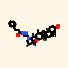 CC1=C2CC3[C@@H](CC[C@@H]4CC(=O)CC[C@]34C)[C@@H]2CC[C@@]2(C1)O[C@@H]1C[C@H](C)CN(CCNC(=O)CCc3ccccc3)C1[C@H]2C